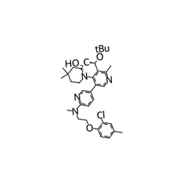 Cc1ccc(OCCN(C)c2ccc(-c3cnc(C)c([C@H](OC(C)(C)C)C(=O)O)c3N3CCC(C)(C)CC3)cn2)c(Cl)c1